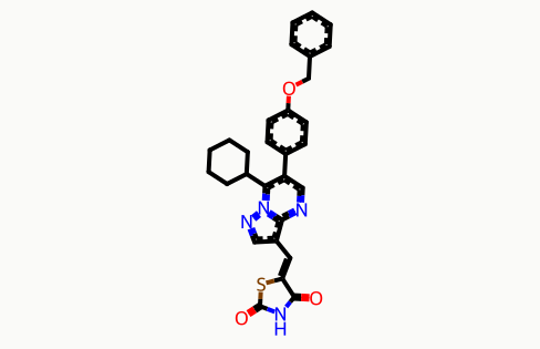 O=C1NC(=O)/C(=C/c2cnn3c(C4CCCCC4)c(-c4ccc(OCc5ccccc5)cc4)cnc23)S1